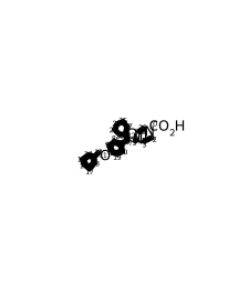 O=C(O)N1CCN(C[C@H](c2ccc(OCc3ccccc3)cc2)C2(O)CCCCC2)CC1